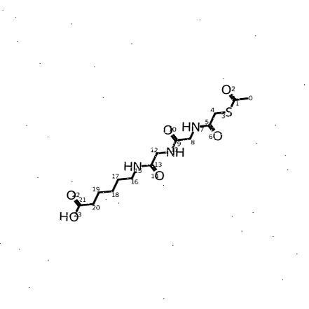 CC(=O)SCC(=O)NCC(=O)NCC(=O)NCCCCCC(=O)O